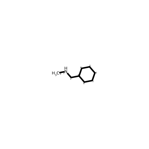 CNCC1CC[CH]CC1